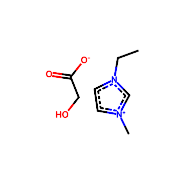 CCn1cc[n+](C)c1.O=C([O-])CO